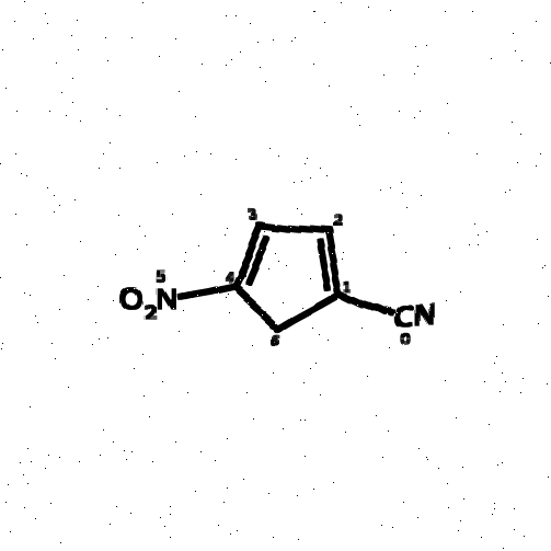 N#CC1=CC=C([N+](=O)[O-])C1